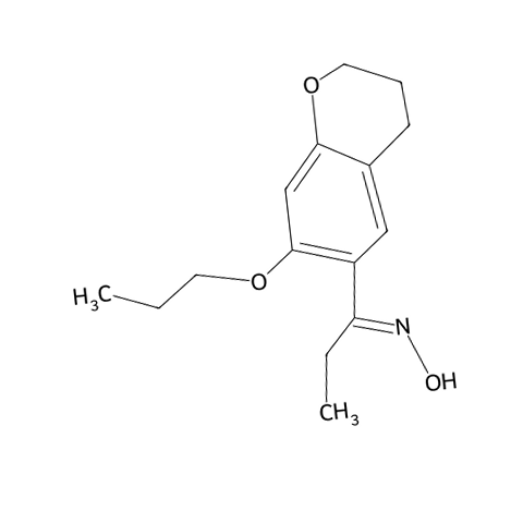 CCCOc1cc2c(cc1C(CC)=NO)CCCO2